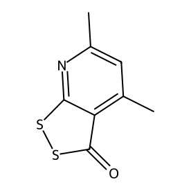 Cc1cc(C)c2c(=O)ssc2n1